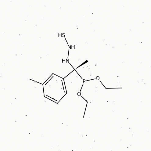 CCOP(OCC)[C@@](C)(NNS)c1cccc(C)c1